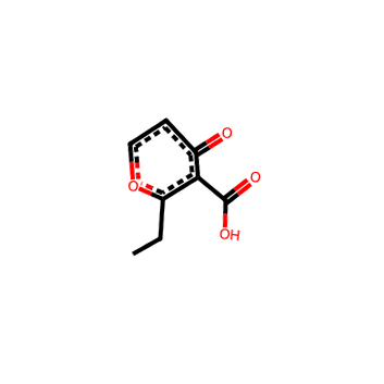 CCc1occc(=O)c1C(=O)O